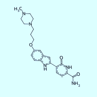 CN1CCN(CCCOc2ccc3[nH]c(-c4c[c]c(C(N)=O)[nH]c4=O)cc3c2)CC1